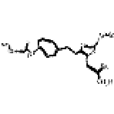 CC/C(=C\c1sc(NC(C)=O)nc1CCc1ccc(NC(=O)OC(C)(C)C)cc1)C(=O)O